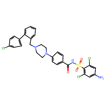 Nc1cc(Cl)c(S(=O)(=O)NC(=O)c2ccc(N3CCN(Cc4ccccc4-c4ccc(Cl)cc4)CC3)cc2)c(Cl)c1